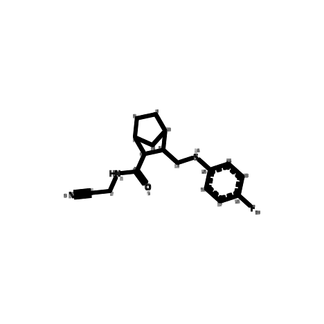 N#CCNC(=O)C1C2CCC(C2)C1CSc1ccc(F)cc1